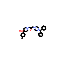 Cc1ccc(C2(O)CCN(CC(=O)CN3CCN(C(c4ccccc4)c4ccccc4)CC3)CC2)cc1